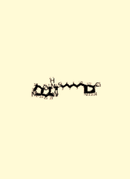 O=c1[nH]c(SCCCCCCc2cccc(Cl)c2)ncc1Cc1cccnc1